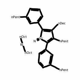 CCCCCCCCCCC1=C(c2cccc(CCCCC)c2)[N+](=[N-])C(c2cccc(CCCCC)c2)=C1CCCCC.CCCCCCC[CH2][Ni][CH2]CCCCCCC